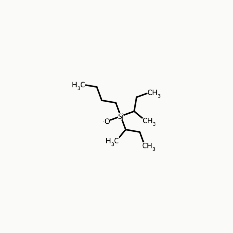 CCCC[Si]([O])(C(C)CC)C(C)CC